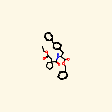 CCOC(=O)CC1(C(=O)N[C@@H](Cc2ccc(-c3ccccc3)cc2)C(=O)OCc2ccccc2)CCCC1